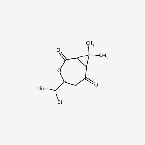 CCCCC(CC)[C]1CC(=O)C2C(C(=O)O1)C2(C)C